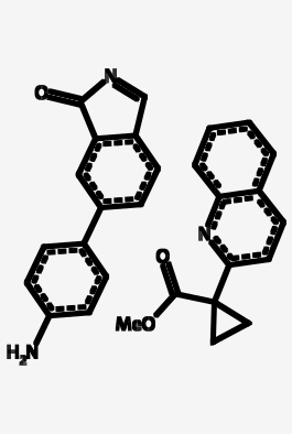 COC(=O)C1(c2ccc3ccccc3n2)CC1.Nc1ccc(-c2ccc3c(c2)C(=O)N=C3)cc1